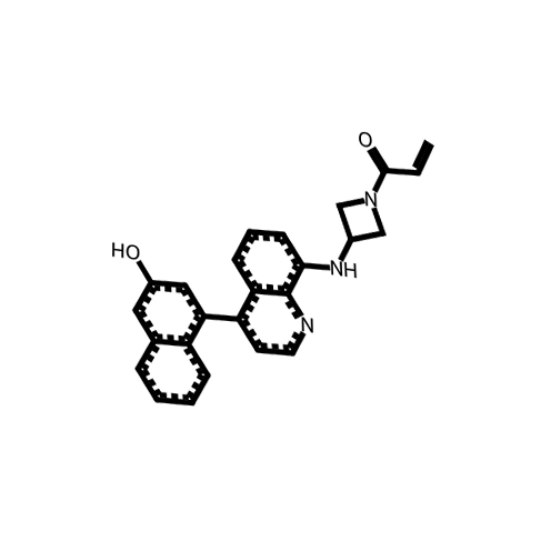 C=CC(=O)N1CC(Nc2cccc3c(-c4cc(O)cc5ccccc45)ccnc23)C1